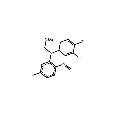 C=Nc1ccc(C)cc1N(CNC)C1C=C(F)C(F)=CC1